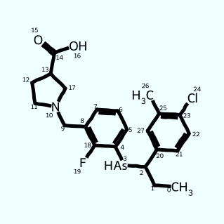 CCC([AsH]c1cccc(CN2CCC(C(=O)O)C2)c1F)c1ccc(Cl)c(C)c1